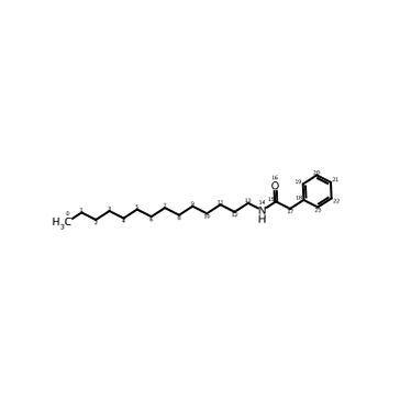 CCCCCCCCCCCCCCNC(=O)Cc1ccccc1